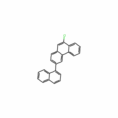 Clc1cc2ccc(-c3cccc4ccccc34)cc2c2ccccc12